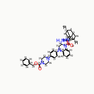 NC(=O)C12CC3C[C@H](C1)C(NC(=O)N1CCN(c4ccc(N5CCN(C(=O)OCc6ccccc6)CC5)cc4)c4ccccc41)[C@@H](C3)C2